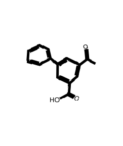 CC(=O)c1cc(C(=O)O)cc(-c2ccccc2)c1